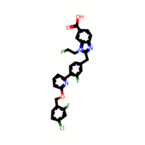 O=C(O)c1ccc2nc(Cc3ccc(-c4cccc(OCc5ccc(Cl)cc5F)n4)c(F)c3)n(CCF)c2c1